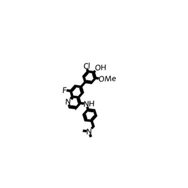 COc1cc(-c2cc(F)c3nc[c]c(Nc4ccc(CN(C)C)cc4)c3c2)cc(Cl)c1O